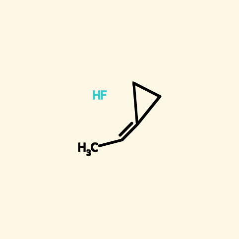 CC=C1CC1.F